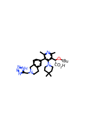 Cc1nc(C)c([C@H](OC(C)(C)C)C(=O)O)c(N2CCC(C)(C)CC2)c1-c1ccc2c(c1)CCN(Cc1nnn[nH]1)C2